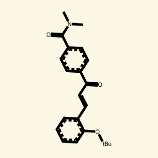 CN(C)C(=O)c1ccc(C(=O)/C=C/c2ccccc2OC(C)(C)C)cc1